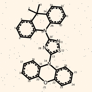 CC1(C)c2ccccc2N(c2nsc(N3c4ccccc4Oc4ccccc43)n2)c2ccccc21